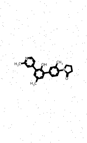 Cc1cc(-c2ccnc(C)c2)c(O)c(-c2ccc(N3CCCC3=O)c(C)c2)c1